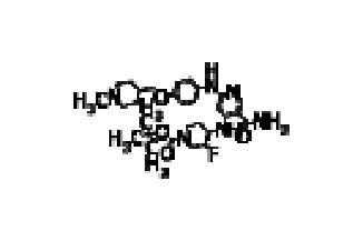 CN1CCC(COc2ccc(Nc3cc(N[C@@H]4CCN(C(=O)OC(C)(C)C)C[C@@H]4F)c(C(N)=O)cn3)cc2)CC1